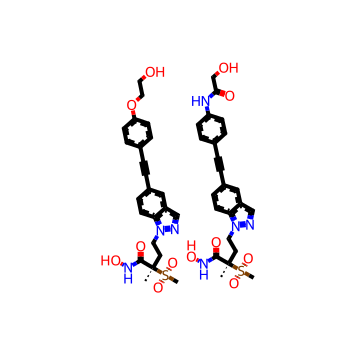 C[C@@](CCn1ncc2cc(C#Cc3ccc(NC(=O)CO)cc3)ccc21)(C(=O)NO)S(C)(=O)=O.C[C@@](CCn1ncc2cc(C#Cc3ccc(OCCO)cc3)ccc21)(C(=O)NO)S(C)(=O)=O